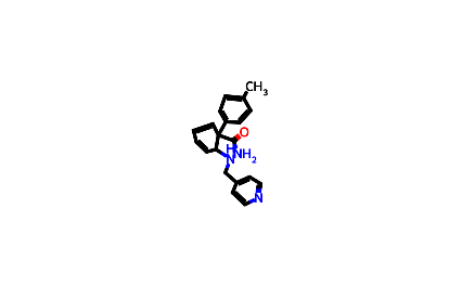 Cc1ccc(C2(C(N)=O)C=CC=CC2NCc2ccncc2)cc1